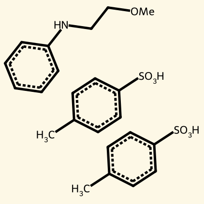 COCCNc1ccccc1.Cc1ccc(S(=O)(=O)O)cc1.Cc1ccc(S(=O)(=O)O)cc1